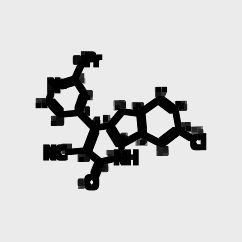 CC(C)c1cc(-c2c3c([nH]c(=O)c2C#N)-c2cc(Cl)ccc2C3)ccn1